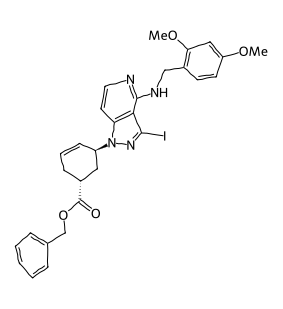 COc1ccc(CNc2nccc3c2c(I)nn3[C@@H]2C=CC[C@@H](C(=O)OCc3ccccc3)C2)c(OC)c1